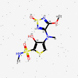 CCNS(=O)(=O)c1scc(N(C)c2n[s+]([O-])nc2OCC)c1O